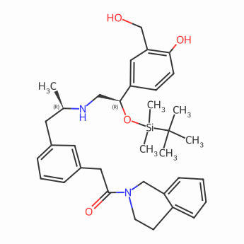 C[C@H](Cc1cccc(CC(=O)N2CCc3ccccc3C2)c1)NC[C@H](O[Si](C)(C)C(C)(C)C)c1ccc(O)c(CO)c1